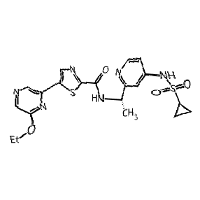 CCOc1cncc(-c2cnc(C(=O)N[C@@H](C)c3cc(NS(=O)(=O)C4CC4)ccn3)s2)n1